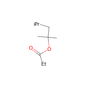 [CH2]C(C)CC(C)(C)OC(=O)CC